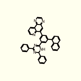 c1ccc(C2=NC(c3ccccc3)NC(c3cc(-c4cccc5ccccc45)cc(-c4cc5nccnc5c5cccnc45)c3)=N2)cc1